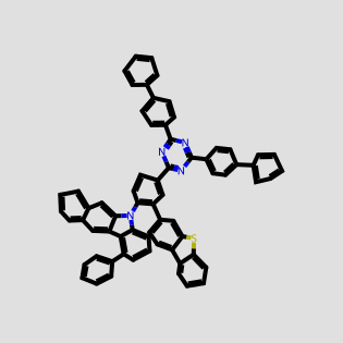 c1ccc(-c2ccc(-c3nc(-c4ccc(-c5ccccc5)cc4)nc(-c4ccc(-n5c6cc7ccccc7cc6c6c(-c7ccccc7)cccc65)c(-c5ccc6c(c5)sc5ccccc56)c4)n3)cc2)cc1